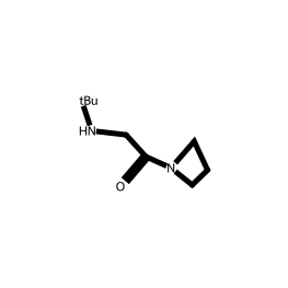 CC(C)(C)NCC(=O)N1CCC1